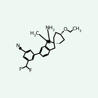 CCO[C@H]1CC[C@]2(CC1)Cc1ccc(-c3cc(C#N)cc(C(F)F)c3)cc1C21N=C(C)C(N)=N1